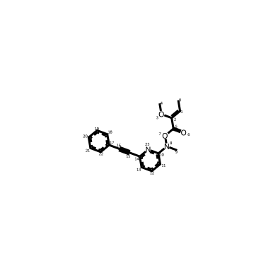 CC=C(OC)C(=O)ON(C)c1cccc(C#Cc2ccccc2)n1